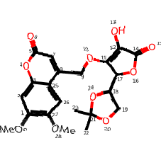 COc1cc2oc(=O)cc(COC3=C(O)C(=O)OC3C3COC(C)(C)O3)c2cc1OC